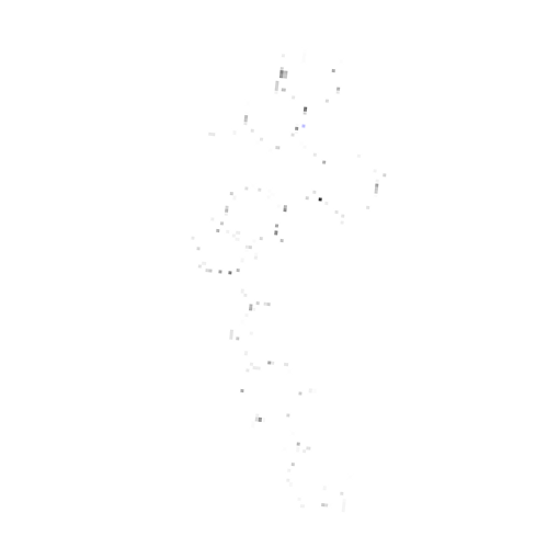 C=N/C(OC)=C(\C=C(/C)F)C1COCCN1c1ccn2ncc(C(=O)Nc3ccc(N4CCNCC4)cc3)c2n1